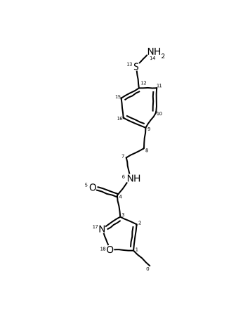 Cc1cc(C(=O)NCCc2ccc(SN)cc2)no1